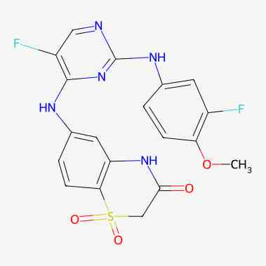 COc1ccc(Nc2ncc(F)c(Nc3ccc4c(c3)NC(=O)CS4(=O)=O)n2)cc1F